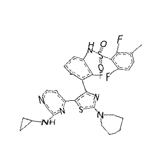 Cc1ccc(F)c(S(=O)(=O)Nc2cccc(-c3nc(N4CCCCC4)sc3-c3ccnc(NC4CC4)n3)c2F)c1F